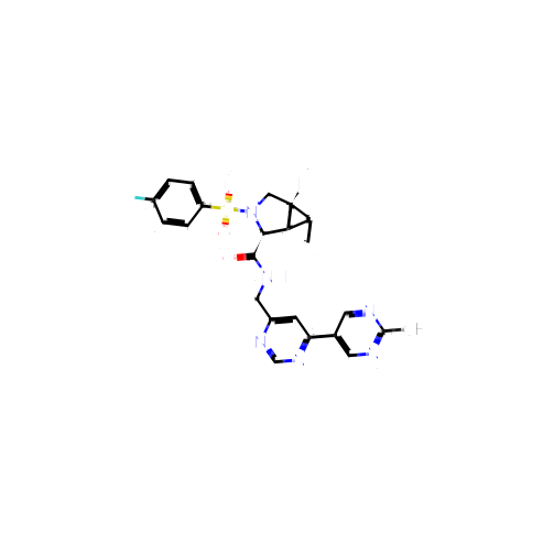 O=C(NCc1cc(-c2cnc(C(F)(F)F)nc2)ncn1)[C@H]1N(S(=O)(=O)c2ccc(F)cc2)C[C@@H]2C3C[C@@]321